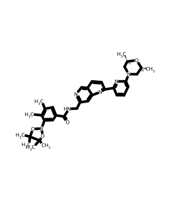 Cc1cc(C(=O)NCc2cc3nc(-c4cccc(N5C[C@@H](C)O[C@@H](C)C5)n4)ccc3cn2)cc(B2OC(C)(C)C(C)(C)O2)c1C